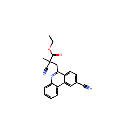 CCOC(=O)C(C)(C#N)Cc1nc2ccccc2c2cc(C#N)ccc12